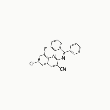 N#Cc1cc2cc(Cl)cc(F)c2nc1N=C(c1ccccc1)c1ccccc1